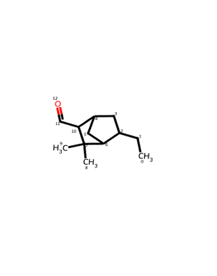 CCC1CC2CC1C(C)(C)C2C=O